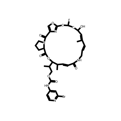 CC1=C\C(O)CC(F)Cc2nc(co2)C(=O)N2CCCC2C(=O)OC(C(C)COC(=O)Nc2ccnc(Br)c2)C(C)/C=C/C(=O)NC\C=C\1